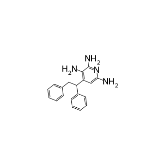 Nc1cc(C(Cc2ccccc2)c2ccccc2)c(N)c(N)n1